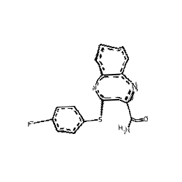 NC(=O)c1nc2ccccc2nc1Sc1ccc(F)cc1